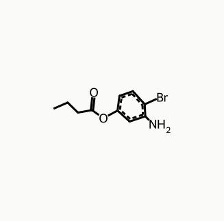 CCCC(=O)Oc1ccc(Br)c(N)c1